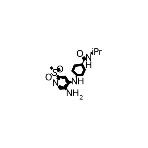 CC(C)NC(=O)[C@H]1CC[C@@H](Nc2cc(S(C)(=O)=O)ncc2N)CC1